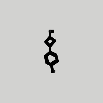 O[C@H]1C[C@H](c2ccc(Br)cc2)C1